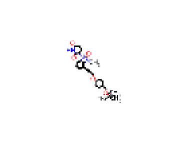 Cn1c(=O)n(C2CCC(=O)NC2=O)c2cccc(C#CCOC3CCC(CO[Si](C)(C)C(C)(C)C)CC3)c21